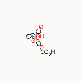 O=C1C=CC(O)(c2cc3ccccc3n2S(=O)(=O)c2ccc(OCC(=O)O)cc2)C=C1